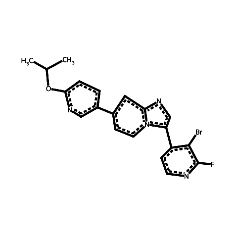 CC(C)Oc1ccc(-c2ccn3c(-c4ccnc(F)c4Br)cnc3c2)cn1